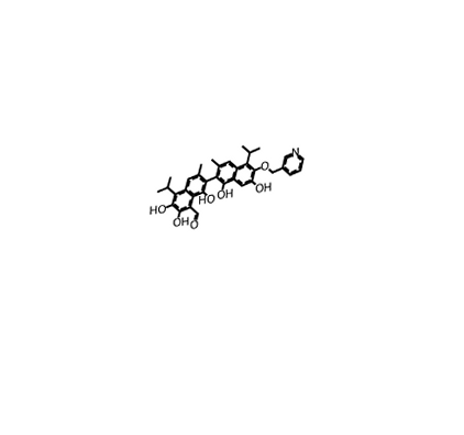 Cc1cc2c(C(C)C)c(OCc3cccnc3)c(O)cc2c(O)c1-c1c(C)cc2c(C(C)C)c(O)c(O)c(C=O)c2c1O